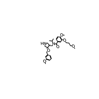 COCCCOc1cc(C(=O)N(C[C@@H]2CNC[C@H]2OCc2cccc(OC)c2)C(C)C)ccc1OC